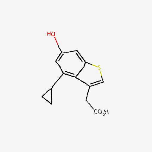 O=C(O)Cc1csc2cc(O)cc(C3CC3)c12